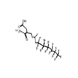 NC(=O)C(CSC(F)CC(F)(F)C(F)(F)C(F)(F)C(F)(F)C(F)(F)C(F)(F)F)CC(=O)O